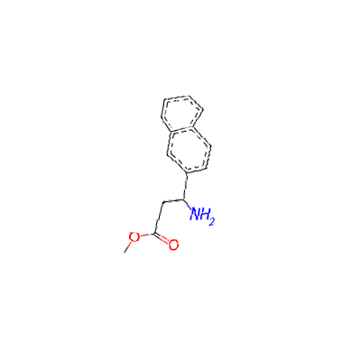 COC(=O)CC(N)c1ccc2ccccc2c1